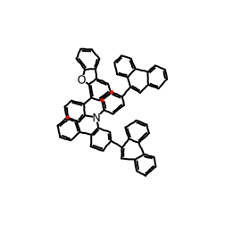 c1ccc(-c2ccc(-c3cc4ccccc4c4ccccc34)cc2N(c2ccc(-c3cc4ccccc4c4ccccc34)cc2)c2ccccc2-c2cccc3c2oc2ccccc23)cc1